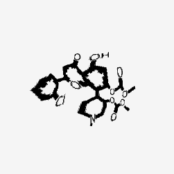 COC(=O)Oc1cc(O)c2c(=O)cc(-c3ccccc3Cl)oc2c1C1CCN(C)CC1OC(=O)OC